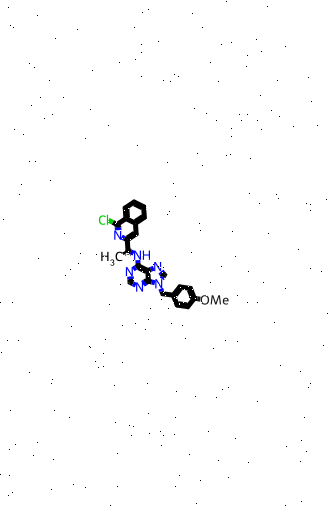 COc1ccc(Cn2cnc3c(N[C@@H](C)c4cc5ccccc5c(Cl)n4)ncnc32)cc1